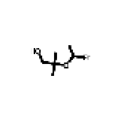 CCC(C)OC(C)(C)CO